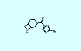 O=C(c1cc(Br)no1)N1CCC2CNC2C1